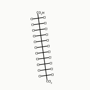 O=C(O)C(Cl)(Cl)C(Cl)(Cl)C(Cl)(Cl)C(Cl)(Cl)C(Cl)(Cl)C(Cl)(Cl)C(Cl)(Cl)C(Cl)(Cl)C(Cl)(Cl)C(Cl)(Cl)C(Cl)(Cl)C(Cl)(Cl)Cl